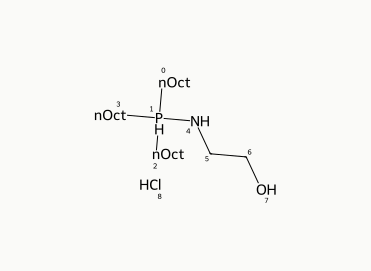 CCCCCCCC[PH](CCCCCCCC)(CCCCCCCC)NCCO.Cl